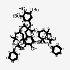 CC(C)(C)c1cc(CC(Cc2cc(C(C)(C)C)c(O)c(C(C)(C)C)c2)(C(=O)OC2CC(C)(C)N(C(=O)Oc3ccccc3)C(C)(C)C2)C(=O)OC2CC(C)(C)N(C(=O)Oc3ccccc3)C(C)(C)C2)cc(C(C)(C)C)c1O